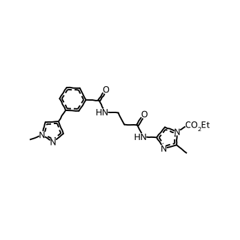 CCOC(=O)n1cc(NC(=O)CCNC(=O)c2cccc(-c3cnn(C)c3)c2)nc1C